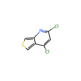 Clc1cc(Cl)c2cscc2n1